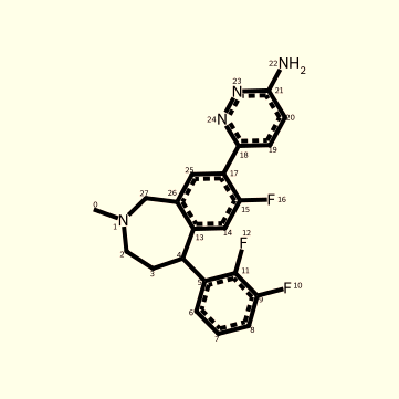 CN1CCC(c2cccc(F)c2F)c2cc(F)c(-c3ccc(N)nn3)cc2C1